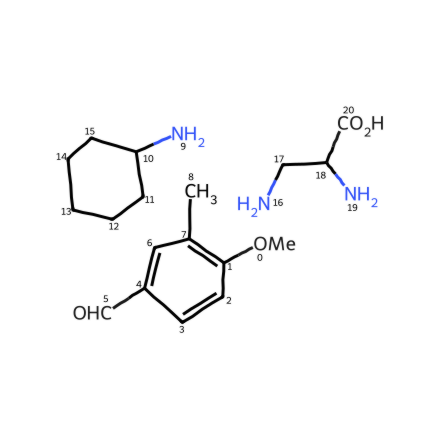 COc1ccc(C=O)cc1C.NC1CCCCC1.NCC(N)C(=O)O